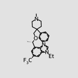 CCn1cnc2c([C@H](C)OCC3(c4ccccc4)CCN(C)CC3)cc(C(F)(F)F)cc21